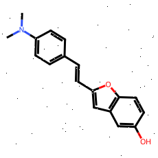 CN(C)c1ccc(/C=C/c2cc3cc(O)ccc3o2)cc1